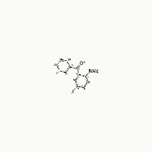 CNc1ccc(I)cc1C(=O)c1ccccc1